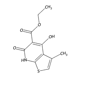 CCOC(=O)c1c(O)c2c(C)csc2[nH]c1=O